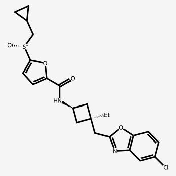 CC[C@]1(Cc2nc3cc(Cl)ccc3o2)C[C@@H](NC(=O)c2ccc([S@+]([O-])CC3CC3)o2)C1